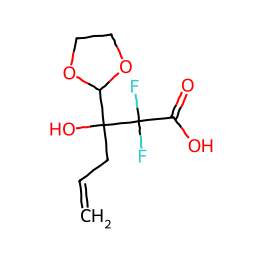 C=CCC(O)(C1OCCO1)C(F)(F)C(=O)O